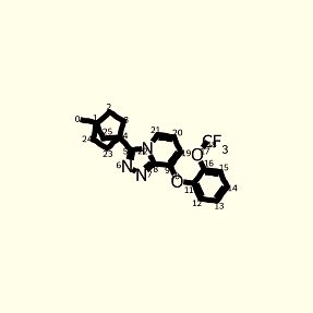 CC12CCC(c3nnc4c(Oc5ccccc5OC(F)(F)F)cccn34)(CC1)C2